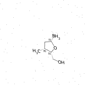 B[C@H]1C[C@@H](C)[C@@H](CO)O1